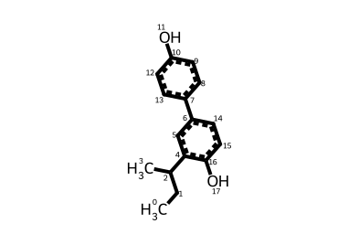 CCC(C)c1cc(-c2ccc(O)cc2)ccc1O